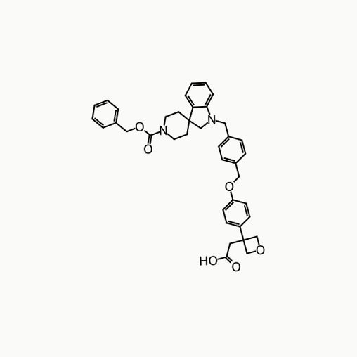 O=C(O)CC1(c2ccc(OCc3ccc(CN4CC5(CCN(C(=O)OCc6ccccc6)CC5)c5ccccc54)cc3)cc2)COC1